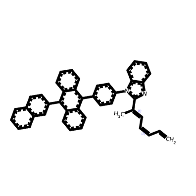 C=C/C=C\C=C(/C)c1nc2ccccc2n1-c1ccc(-c2c3ccccc3c(-c3ccc4ccccc4c3)c3ccccc23)cc1